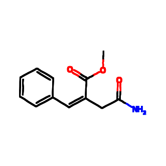 COC(=O)/C(=C\c1ccccc1)CC(N)=O